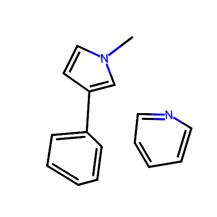 Cn1ccc(-c2ccccc2)c1.c1ccncc1